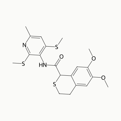 COc1cc2c(cc1OC)C(C(=O)Nc1c(SC)cc(C)nc1SC)SCC2